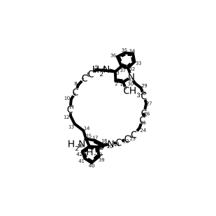 CC1=CC2(N)CCCCCCCCCCC3(N)C=C(C)N(CCCCCCCCCCN1c1ccccc12)c1ccccc13